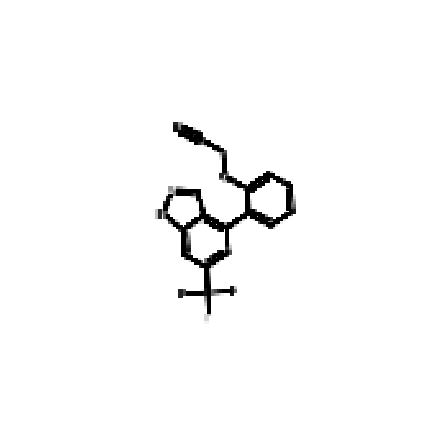 N#CCOc1ccccc1-c1cc(C(F)(F)F)cc2[nH]ncc12